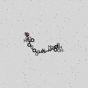 O=C(N[C@@H](c1ccccc1)c1cccc(OCc2ccc(C(=O)OCc3cnn(CCCNCC(O)c4ccc(O)c5[nH]c(=O)ccc45)c3)cc2)c1)OC1CN2CCC1CC2